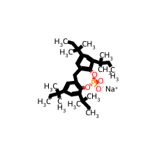 CCC(C)(C)c1cc2c(c(C(C)(C)CC)c1)OP(=O)([O-])Oc1c(cc(C(C)(C)CC)cc1C(C)(C)CC)C2.[Na+]